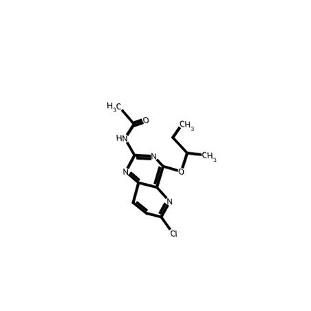 CCC(C)Oc1nc(NC(C)=O)nc2ccc(Cl)nc12